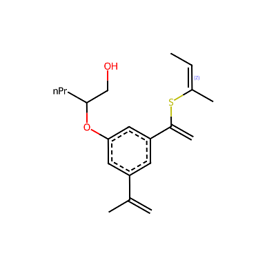 C=C(C)c1cc(OC(CO)CCC)cc(C(=C)S/C(C)=C\C)c1